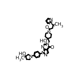 C[C@H](CC(=O)N1CCC(O)(Cn2cnc3c(cnn3-c3ccc(N4CC[C@@](C)(O)C4)cc3)c2=O)CC1)n1cccn1